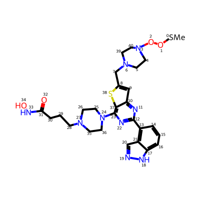 CSOON1CCN(Cc2cc3nc(-c4cccc5[nH]ncc45)nc(N4CCN(CCCC(=O)NO)CC4)c3s2)CC1